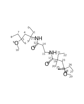 CCC(C)(CC(C)(CC)OC)NC(=O)CCNC(=O)C(C)(CC)C[C@](C)(CC)OC